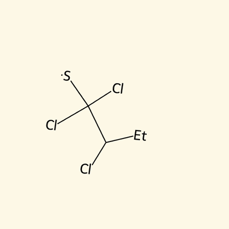 CCC(Cl)C([S])(Cl)Cl